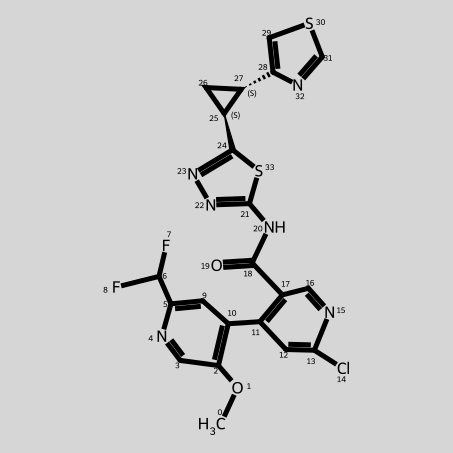 COc1cnc(C(F)F)cc1-c1cc(Cl)ncc1C(=O)Nc1nnc([C@H]2C[C@@H]2c2cscn2)s1